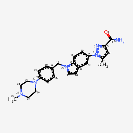 Cc1cc(C(N)=O)nn1-c1ccc2c(ccn2Cc2ccc(N3CCN(C)CC3)cc2)c1